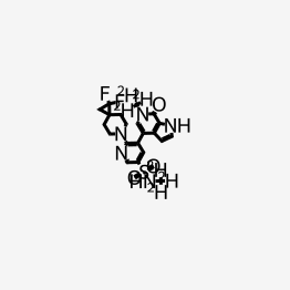 [2H]C([2H])([2H])NS(=O)(=O)c1cnc(N2CCC3(CC2)CC3(F)F)c(-c2cn(C([2H])([2H])[2H])c(=O)c3[nH]ccc23)c1